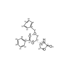 O=C1N[C@@H](C(COCc2ccccc2)OC(=O)c2ccccc2)CO1